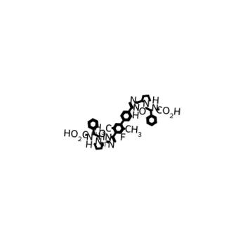 Cc1cc(-c2ccc(-c3cnc(C4CCCN4C(=O)C(NC(=O)O)c4ccccc4)[nH]3)cc2)c(C)c(F)c1-c1cnc([C@@H]2CCCN2C(=O)[C@H](NC(=O)O)c2ccccc2)[nH]1